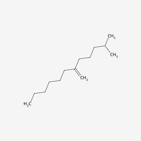 [CH2]CCCCCC(=C)CCCC(C)C